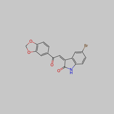 O=C1Nc2ccc(Br)cc2C1=CC(=O)c1ccc2c(c1)OCO2